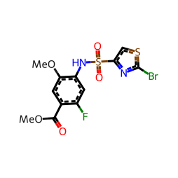 COC(=O)c1cc(OC)c(NS(=O)(=O)c2csc(Br)n2)cc1F